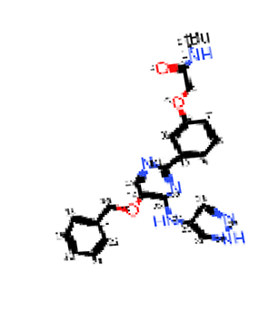 CC(C)(C)NC(=O)COc1cccc(-c2ncc(OCc3ccccc3)c(Nc3cn[nH]c3)n2)c1